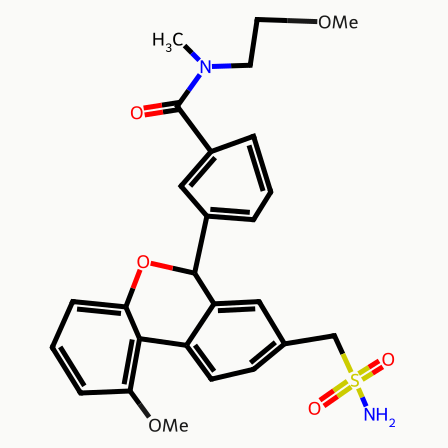 COCCN(C)C(=O)c1cccc(C2Oc3cccc(OC)c3-c3ccc(CS(N)(=O)=O)cc32)c1